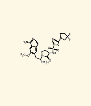 Nc1nccc2cc(CC(C(=O)O)N3CCC(NS(=O)(=O)c4cnc(N5CCC(F)(F)C5)s4)C3=O)c(OC(F)(F)F)cc12